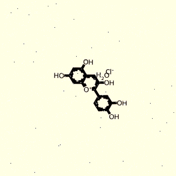 O.Oc1cc(O)c2cc(O)c(-c3ccc(O)c(O)c3)[o+]c2c1.[Cl-]